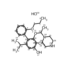 CCCOc1ccccc1-c1c(C(C)C)cc(O)c(C)c1OC(C)N1CCNCC1.Cl